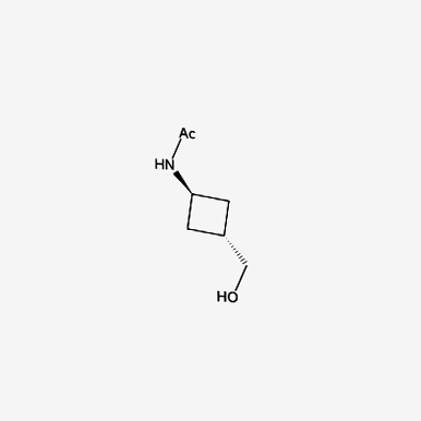 CC(=O)N[C@H]1C[C@H](CO)C1